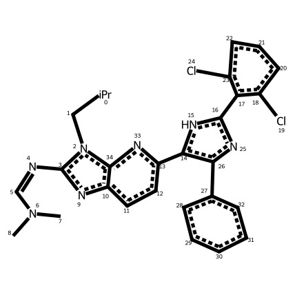 CC(C)Cn1c(/N=C\N(C)C)nc2ccc(-c3[nH]c(-c4c(Cl)cccc4Cl)nc3-c3ccccc3)nc21